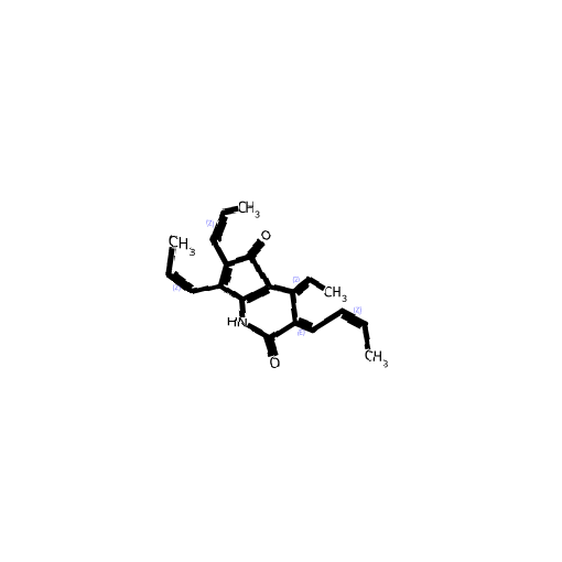 C\C=C/C=c1/c(=O)[nH]c2c(/c1=C/C)C(=O)C(/C=C\C)=C2/C=C\C